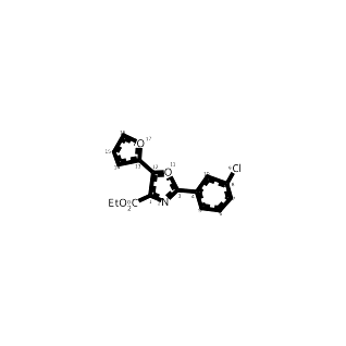 CCOC(=O)c1nc(-c2cccc(Cl)c2)oc1-c1ccco1